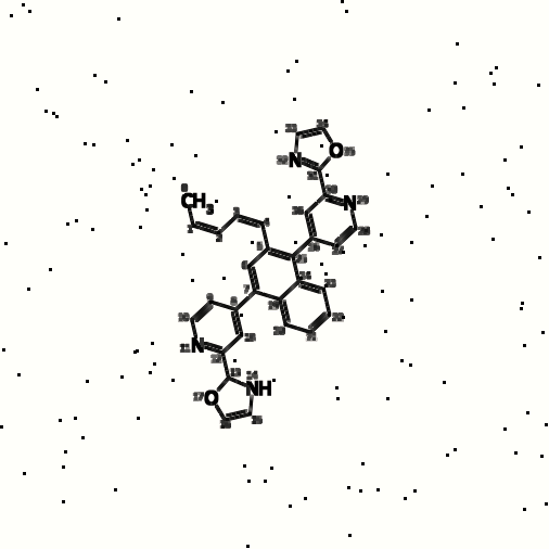 C/C=C\C=C/c1cc(-c2ccnc(C3NC=CO3)c2)c2ccccc2c1-c1ccnc(-c2ncco2)c1